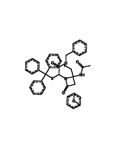 CC(=O)NC1(CI)CC(=O)N1C(SC(c1ccccc1)(c1ccccc1)c1ccccc1)C(=O)OCc1ccccc1.c1cc2cc(c1)O2